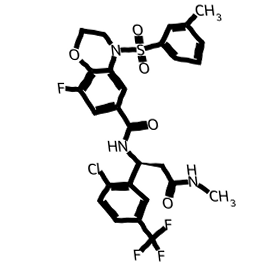 CNC(=O)C[C@H](NC(=O)c1cc(F)c2c(c1)N(S(=O)(=O)c1cccc(C)c1)CCO2)c1cc(C(F)(F)F)ccc1Cl